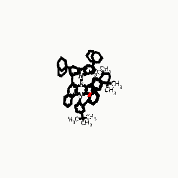 CC(C)(C)c1ccc(N2c3sc4cc5c(cc4c3B3c4c(cc6ccccc6c42)-c2cc(C46CCCC(CCC4)C6)cc4c6cc(C78CCCC(CCC7)C8)ccc6n3c24)C(C)(C)CCC5(C)C)c(-c2ccccc2)c1